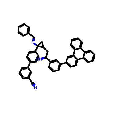 N#Cc1cccc(-c2ccc(C3(/N=C/c4ccccc4)CC3CC(=N)c3cccc(-c4ccc5c6ccccc6c6ccccc6c5c4)c3)cc2)c1